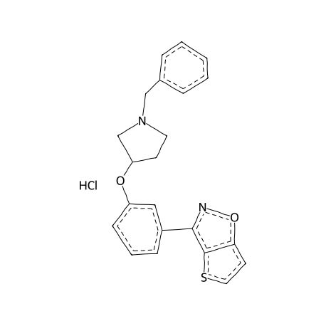 Cl.c1ccc(CN2CCC(Oc3cccc(-c4noc5ccsc45)c3)C2)cc1